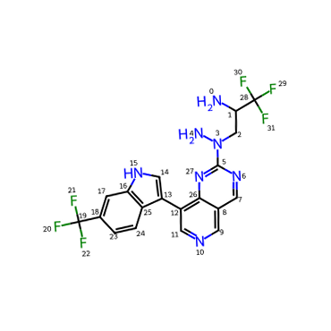 NC(CN(N)c1ncc2cncc(-c3c[nH]c4cc(C(F)(F)F)ccc34)c2n1)C(F)(F)F